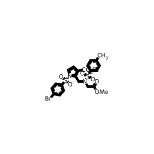 CCOC(=O)c1ccn(S(=O)(=O)c2ccc(Br)cc2)c1CN(CC(=O)OC)S(=O)(=O)c1ccc(C)cc1